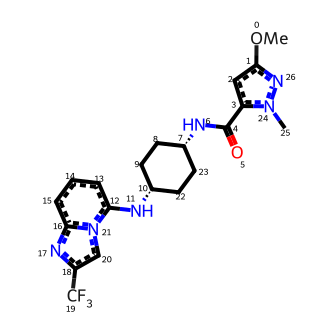 COc1cc(C(=O)N[C@H]2CC[C@@H](Nc3cccc4nc(C(F)(F)F)cn34)CC2)n(C)n1